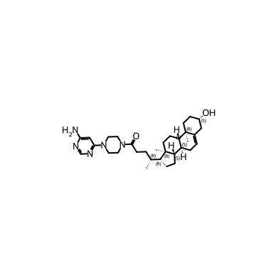 C[C@H](CCC(=O)N1CCN(c2cc(N)ncn2)CC1)[C@H]1CC[C@H]2[C@@H]3CC=C4C[C@@H](O)CC[C@]4(C)[C@H]3CC[C@]12C